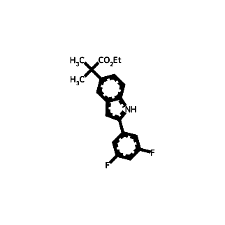 CCOC(=O)C(C)(C)c1ccc2[nH]c(-c3cc(F)cc(F)c3)cc2c1